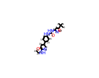 CC(C)(C)c1cc(NC(=O)Nc2ccc(-c3cnc4c(c3)OCCN4)cc2)no1